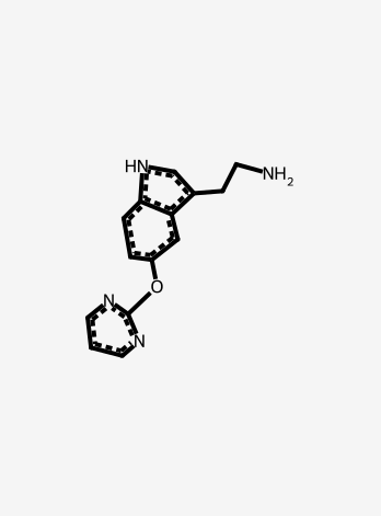 NCCc1c[nH]c2ccc(Oc3ncccn3)cc12